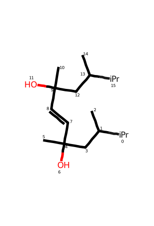 CC(C)C(C)CC(C)(O)C=CC(C)(O)CC(C)C(C)C